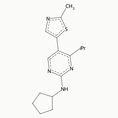 Cc1ncc(-c2cnc(NC3CCCC3)nc2C(C)C)s1